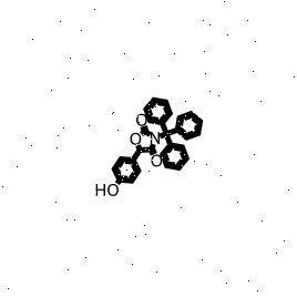 O=C1OC(c2ccc(O)cc2)C(=O)N1C(c1ccccc1)(c1ccccc1)c1ccccc1